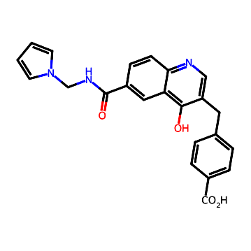 O=C(O)c1ccc(Cc2cnc3ccc(C(=O)NCn4cccc4)cc3c2O)cc1